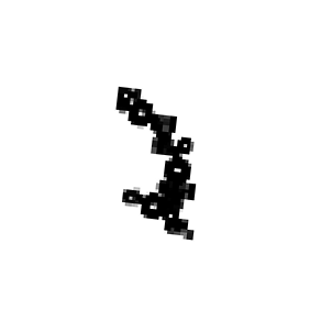 COc1ccc(NCCNC(=O)c2ccc(NS(=O)(=O)c3cc(Cl)ccc3OC)cc2)cc1